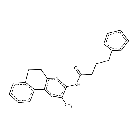 Cc1nc2c(nc1NC(=O)CCCc1ccccc1)CCc1ccccc1-2